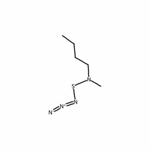 CCCCN(C)SN=[N+]=[N-]